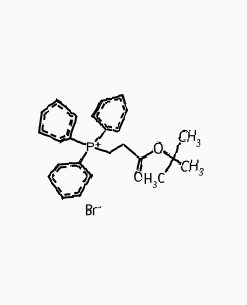 CC(C)(C)OC(=O)CC[P+](c1ccccc1)(c1ccccc1)c1ccccc1.[Br-]